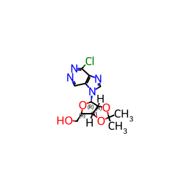 CC1(C)O[C@@H]2[C@H](O1)[C@@H](CO)O[C@H]2n1cnc2c(Cl)nncc21